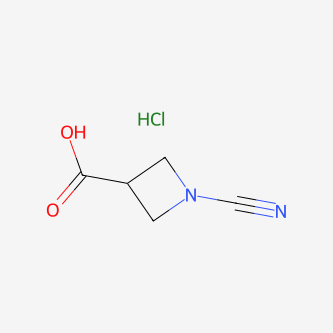 Cl.N#CN1CC(C(=O)O)C1